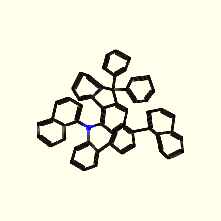 c1ccc(C2(c3ccccc3)c3ccccc3-c3c(N(c4ccccc4-c4ccc(-c5cccc6ccccc56)cc4)c4cccc5ccccc45)cccc32)cc1